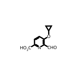 O=Cc1nc(C(=O)O)ccc1OC1CC1